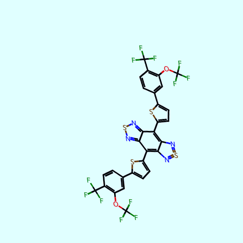 FC(F)(F)Oc1cc(-c2ccc(-c3c4c(c(-c5ccc(-c6ccc(C(F)(F)F)c(OC(F)(F)F)c6)s5)c5nsnc35)N=S=N4)s2)ccc1C(F)(F)F